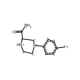 NC(=O)C1CN(c2ccc(F)cc2)CCN1